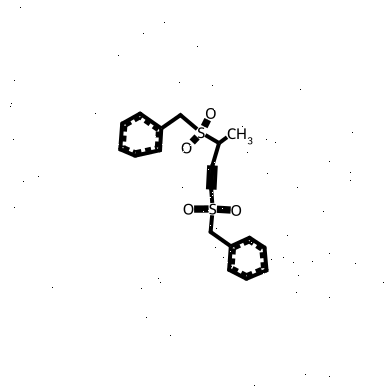 CC(C#CS(=O)(=O)Cc1ccccc1)S(=O)(=O)Cc1ccccc1